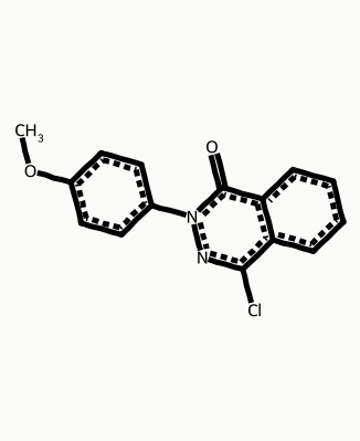 COc1ccc(-n2nc(Cl)c3ccccc3c2=O)cc1